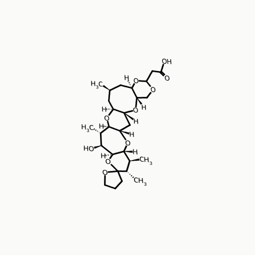 C[C@@H]1C[C@@H]2O[C@@H]3[C@@H](C)[C@H](O)[C@@H]4OC5(CCCO5)[C@@H](C)[C@H](C)[C@H]4O[C@H]3C[C@H]2O[C@H]2COC(CC(=O)O)O[C@@H]2C1